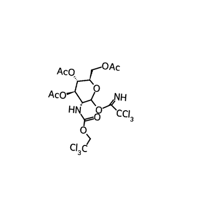 CC(=O)OC[C@H]1OC(OC(=N)C(Cl)(Cl)Cl)[C@H](NC(=O)OCC(Cl)(Cl)Cl)[C@@H](OC(C)=O)[C@@H]1OC(C)=O